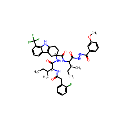 CCC(C)[C@H](NC(=O)Cc1ccccc1F)C(=O)N[C@]1(C(=O)NC(C(=O)NNC(=O)c2cccc(OC)c2)[C@@H](C)CC)CCc2[nH]c3c(C(F)(F)F)cccc3c2C1